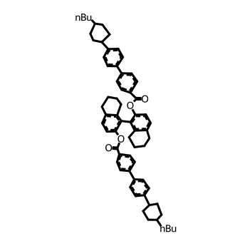 CCCCC1CCC(c2ccc(-c3ccc(C(=O)Oc4ccc5c(c4-c4c(OC(=O)c6ccc(-c7ccc(C8CCC(CCCC)CC8)cc7)cc6)ccc6c4CCCC6)CCCC5)cc3)cc2)CC1